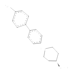 CCCCC[C@H]1CC[Si@H](c2ccc(-c3ccc(C#N)cc3)cc2)CC1